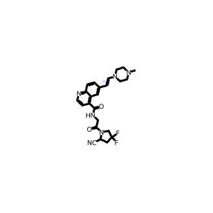 CN1CCN(/C=C/c2ccc3nccc(C(=O)NCC(=O)N4CC(F)(F)CC4C#N)c3c2)CC1